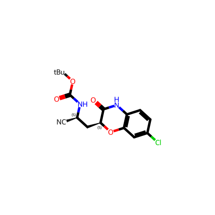 CC(C)(C)OC(=O)N[C@H](C#N)C[C@@H]1Oc2cc(Cl)ccc2NC1=O